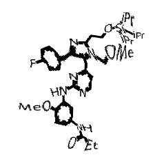 CCC(=O)Nc1ccc(OC)c(Nc2nccc(-c3c(-c4ccc(F)cc4)nc(CCO[Si](C(C)C)(C(C)C)C(C)C)n3COC)n2)c1